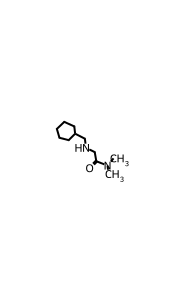 CN(C)C(=O)CNCC1CCCCC1